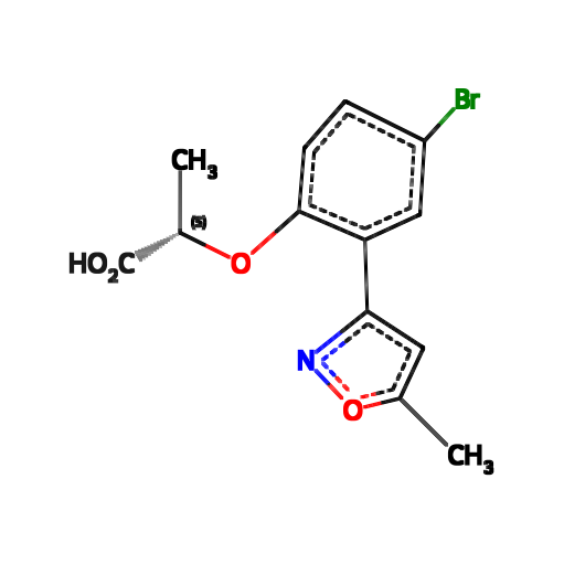 Cc1cc(-c2cc(Br)ccc2O[C@@H](C)C(=O)O)no1